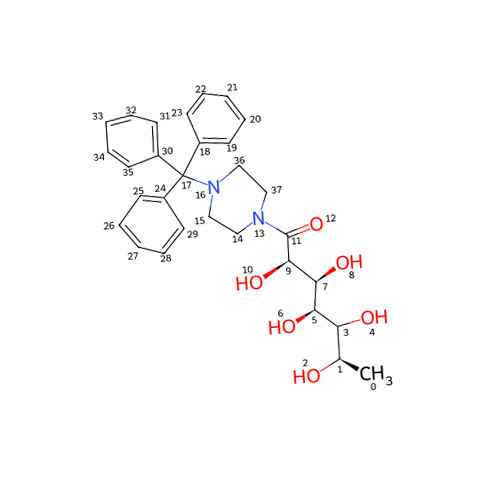 C[C@@H](O)C(O)[C@@H](O)[C@H](O)[C@@H](O)C(=O)N1CCN(C(c2ccccc2)(c2ccccc2)c2ccccc2)CC1